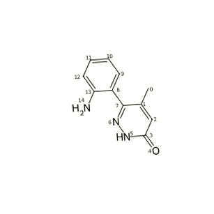 Cc1cc(=O)[nH]nc1-c1ccccc1N